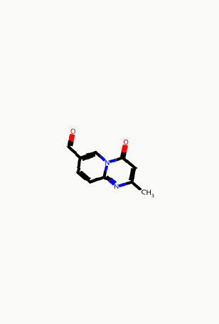 Cc1cc(=O)n2cc([C]=O)ccc2n1